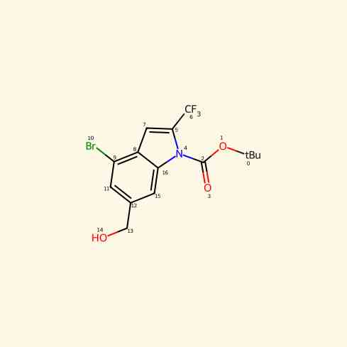 CC(C)(C)OC(=O)n1c(C(F)(F)F)cc2c(Br)cc(CO)cc21